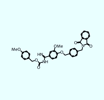 COc1ccc(COC(=O)NC(=N)c2ccc(OCc3ccc(CN4C(=O)c5ccccc5C4=O)cc3)c(OC)c2)cc1